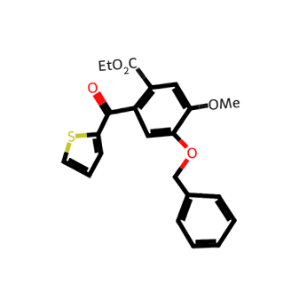 CCOC(=O)c1cc(OC)c(OCc2ccccc2)cc1C(=O)c1cccs1